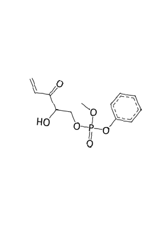 C=CC(=O)C(O)COP(=O)(OC)Oc1ccccc1